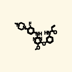 C=CC(=O)Nc1cccc(Oc2nc(Nc3ccc(N4CCN(C)CC4)c(F)c3)ncc2OC)c1